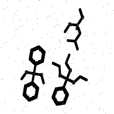 CCO[Si](OCC)(OCC)c1ccccc1.CO[SiH](CC(C)C)OC.CO[Si](OC)(c1ccccc1)c1ccccc1